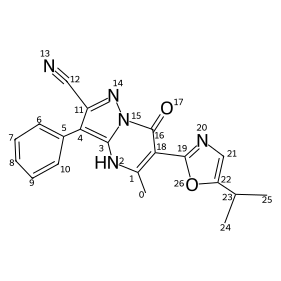 Cc1[nH]c2c(-c3ccccc3)c(C#N)nn2c(=O)c1-c1ncc(C(C)C)o1